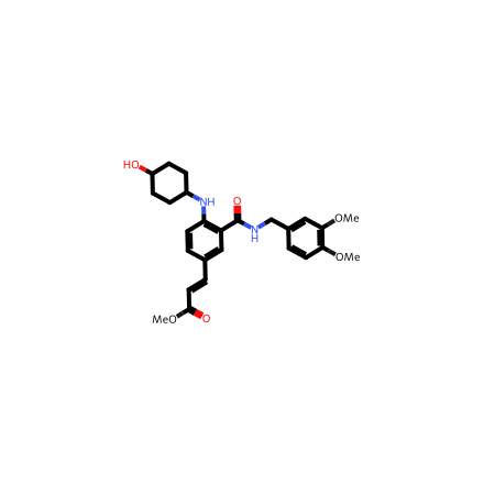 COC(=O)C=Cc1ccc(NC2CCC(O)CC2)c(C(=O)NCc2ccc(OC)c(OC)c2)c1